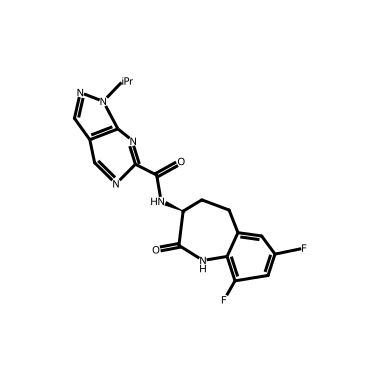 CC(C)n1ncc2cnc(C(=O)N[C@H]3CCc4cc(F)cc(F)c4NC3=O)nc21